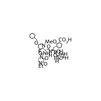 CCN1CCN(C(=O)NC(C(=O)N[C@@H](Cc2cccc(C(=O)O)c2OC)B2O[C@H]3[C@H](C)[C@H]4C[C@@H]([C@H]3O2)C4(C)C)c2ncc(OCc3ccccc3)cc2F)C(=O)C1=O